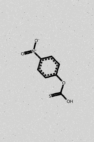 O=[N+]([O-])c1ccc(OC(O)=S)cc1